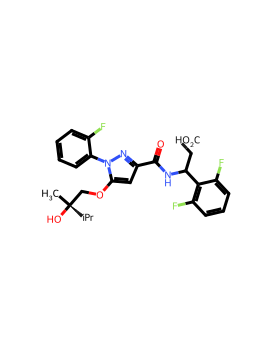 CC(C)[C@](C)(O)COc1cc(C(=O)NC(CC(=O)O)c2c(F)cccc2F)nn1-c1ccccc1F